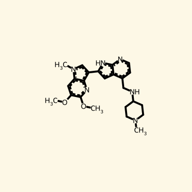 COc1cc2c(nc1OC)c(-c1cc3c(CNC4CCN(C)CC4)ccnc3[nH]1)cn2C